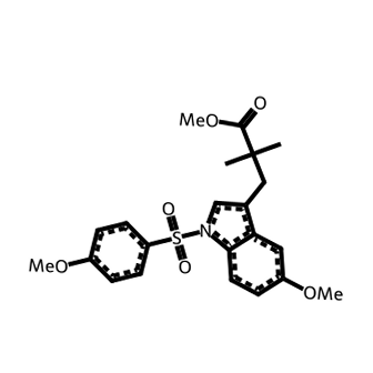 COC(=O)C(C)(C)Cc1cn(S(=O)(=O)c2ccc(OC)cc2)c2ccc(OC)cc12